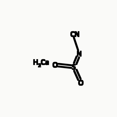 N#CN=S(=O)=O.[CaH2]